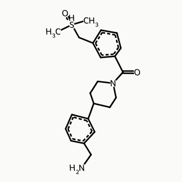 C[SH](C)(=O)Cc1cccc(C(=O)N2CCC(c3cccc(CN)c3)CC2)c1